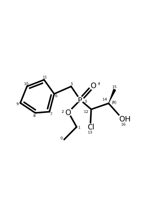 CCOP(=O)(Cc1ccccc1)C(Cl)[C@@H](C)O